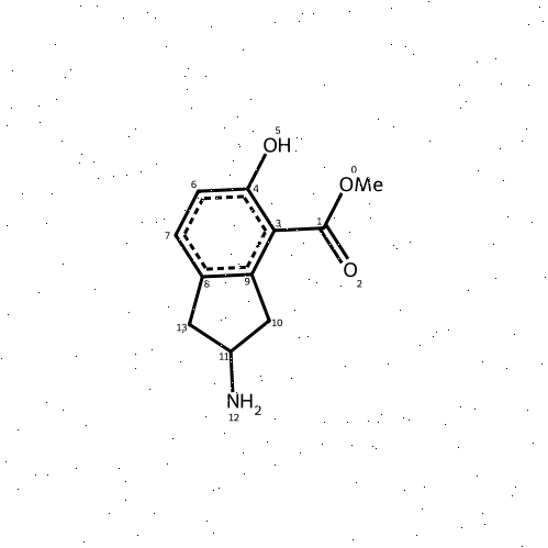 COC(=O)c1c(O)ccc2c1CC(N)C2